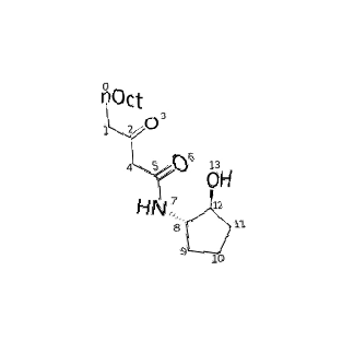 CCCCCCCCCC(=O)CC(=O)N[C@H]1CCC[C@@H]1O